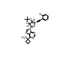 CC1(C)O[C@@H]2[C@H](O1)[C@@H](C#Cc1ccccc1F)O[C@H]2n1cnc2c(C3(N)CCC3)ncnc21